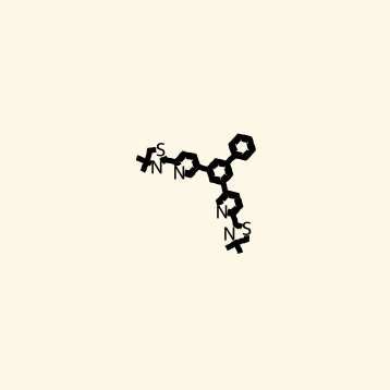 CC1(C)CSC(c2ccc(-c3cc(-c4ccccc4)cc(-c4ccc(C5=NC(C)(C)CS5)nc4)c3)cn2)=N1